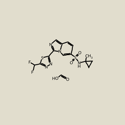 CC1(NS(=O)(=O)c2ccc3cnc(-c4nnc(C(F)F)s4)n3c2)CC1.O=CO